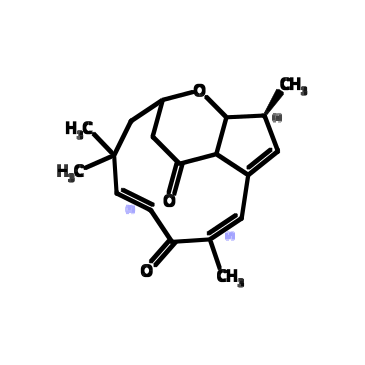 C/C1=C/C2=C[C@H](C)C3OC(CC(=O)C23)CC(C)(C)/C=C/C1=O